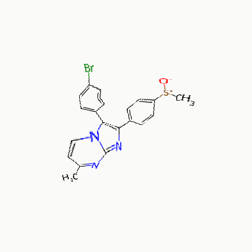 Cc1ccn2c(-c3ccc(Br)cc3)c(-c3ccc([S+](C)[O-])cc3)nc2n1